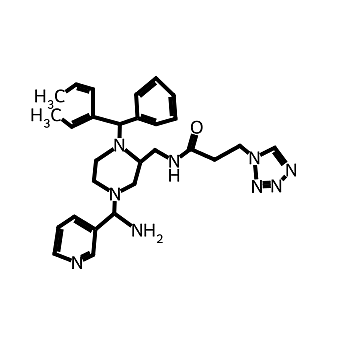 C/C=C\C(=C/C)C(c1ccccc1)N1CCN(C(N)c2cccnc2)CC1CNC(=O)CCn1cnnn1